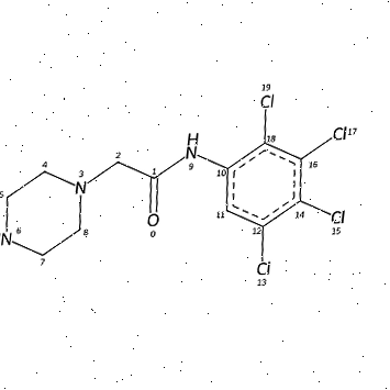 O=C(CN1CCNCC1)Nc1cc(Cl)c(Cl)c(Cl)c1Cl